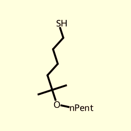 CCCCCOC(C)(C)CCCCS